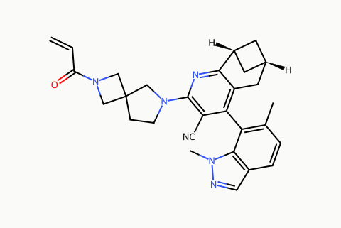 C=CC(=O)N1CC2(CCN(c3nc4c(c(-c5c(C)ccc6cnn(C)c56)c3C#N)C[C@H]3C[C@@H]4C3)C2)C1